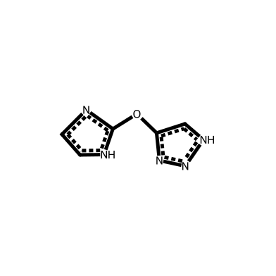 c1c[nH]c(Oc2c[nH]nn2)n1